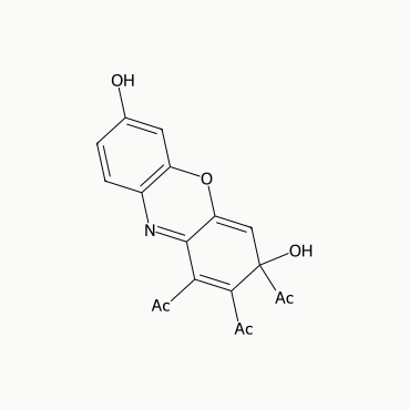 CC(=O)C1=C(C(C)=O)C(O)(C(C)=O)C=C2Oc3cc(O)ccc3N=C21